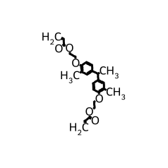 C=CC(=O)OCCOc1ccc(C(C)c2ccc(OCCOC(=O)C=C)c(C)c2)cc1C